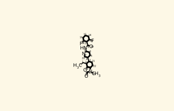 CCc1c(-c2ccc(NC(=O)c3c(F)cccc3F)nc2)ccc2c1oc(=O)n2C